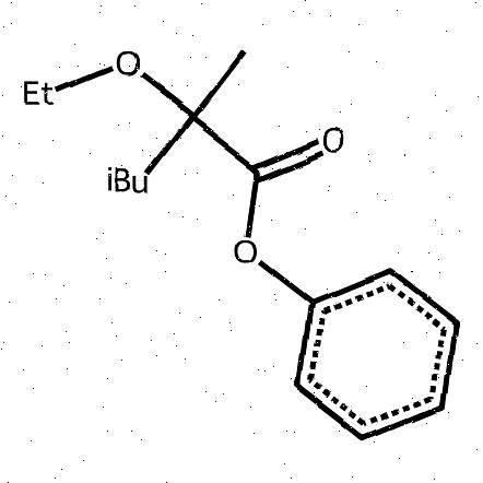 CCOC(C)(C(=O)Oc1ccccc1)C(C)CC